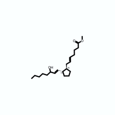 CCCCCC(O)C=C[C@H]1CCC[C@@H]1CC=CCCCC(=O)OC